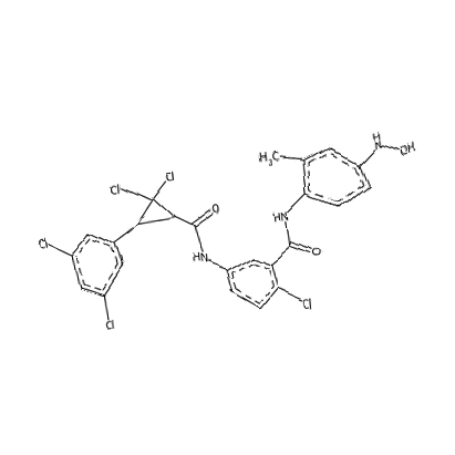 Cc1cc(NO)ccc1NC(=O)c1cc(NC(=O)C2C(c3cc(Cl)cc(Cl)c3)C2(Cl)Cl)ccc1Cl